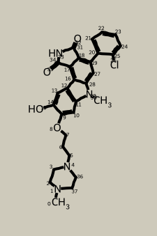 CN1CCN(CCCOc2cc3c(cc2O)c2c4c(c(-c5ccccc5Cl)cc2n3C)C(=O)NC4=O)CC1